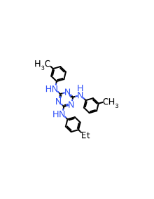 CCc1ccc(Nc2nc(Nc3cccc(C)c3)nc(Nc3cccc(C)c3)n2)cc1